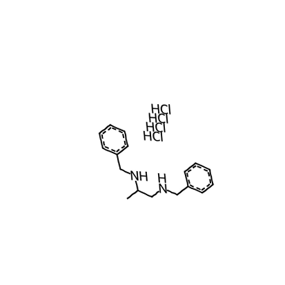 CC(CNCc1ccccc1)NCc1ccccc1.Cl.Cl.Cl.Cl